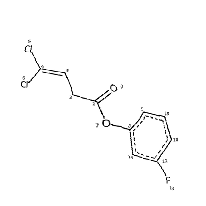 O=C(CC=C(Cl)Cl)Oc1cccc(F)c1